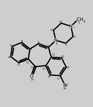 CN1CCN(c2cc3ccccc3c(=O)c3cc(Br)ccc23)CC1